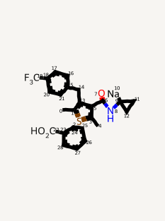 Cc1sc(C)c(C(=O)N[C]2([Na])CC2)c1Cc1ccc(C(F)(F)F)cc1.O=C(O)c1ccccc1